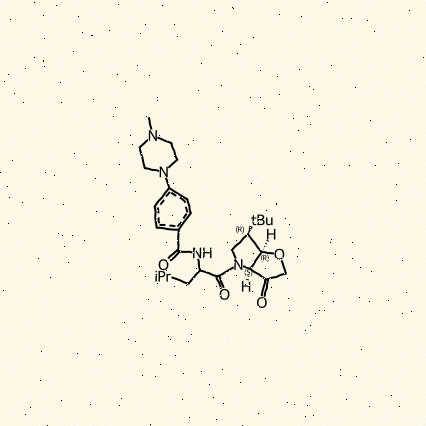 CC(C)CC(NC(=O)c1ccc(N2CCN(C)CC2)cc1)C(=O)N1C[C@@H](C(C)(C)C)[C@H]2OCC(=O)[C@H]21